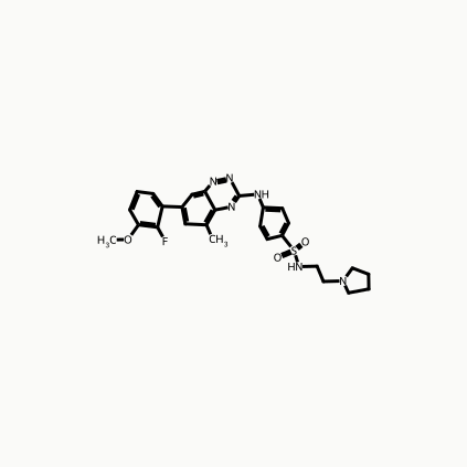 COc1cccc(-c2cc(C)c3nc(Nc4ccc(S(=O)(=O)NCCN5CCCC5)cc4)nnc3c2)c1F